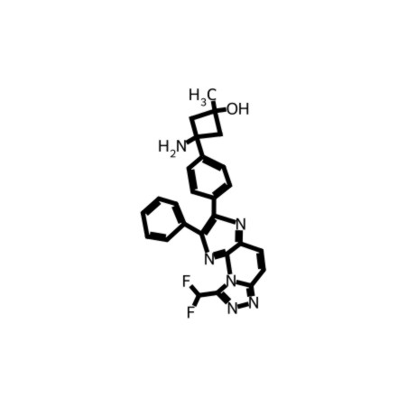 CC1(O)CC(N)(c2ccc(-c3nc4ccc5nnc(C(F)F)n5c4nc3-c3ccccc3)cc2)C1